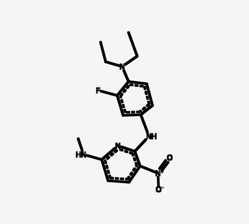 CCN(CC)c1ccc(Nc2nc(NC)ccc2[N+](=O)[O-])cc1F